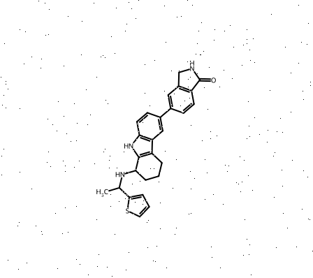 CC(NC1CCCc2c1[nH]c1ccc(-c3ccc4c(c3)CNC4=O)cc21)c1cccs1